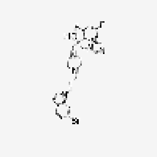 OC(CN1CCN(CCCn2ccc3ccc(Br)cc32)CC1)(Cn1cncn1)c1ccc(F)cc1F